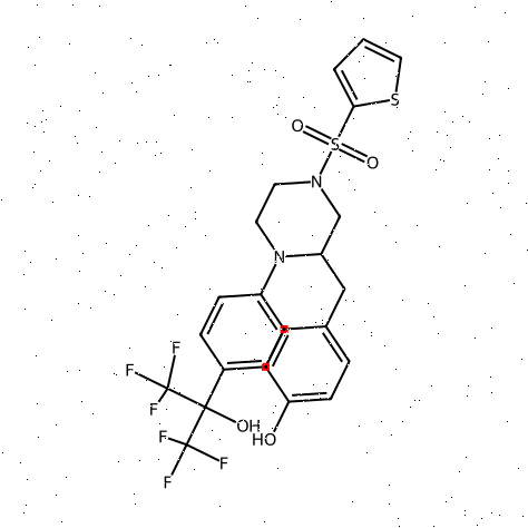 O=S(=O)(c1cccs1)N1CCN(c2ccc(C(O)(C(F)(F)F)C(F)(F)F)cc2)C(Cc2ccc(O)cc2)C1